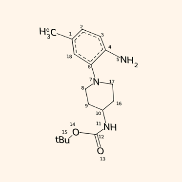 Cc1ccc(N)c(N2CCC(NC(=O)OC(C)(C)C)CC2)c1